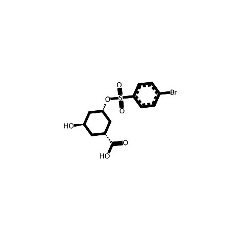 O=C(O)[C@@H]1C[C@@H](O)C[C@H](OS(=O)(=O)c2ccc(Br)cc2)C1